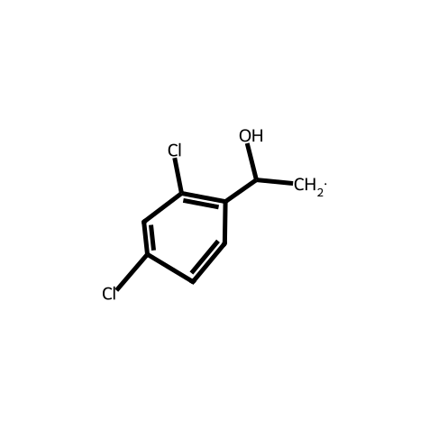 [CH2]C(O)c1ccc(Cl)cc1Cl